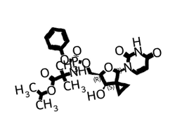 CC(C)OC(=O)C(C)(C)NP(=O)(OC[C@H]1O[C@@H](n2ccc(=O)[nH]c2=O)C2(CC2)[C@@H]1O)Oc1ccccc1